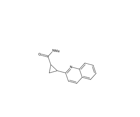 CNC(=O)C1CC1c1ccc2ccccc2n1